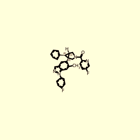 Cc1cc2c(cnn2-c2ccc(F)cc2)cc1[C@]12CN(C(=O)c3ccc(F)cn3)C[C@H]1[C@@H]2c1ccccc1